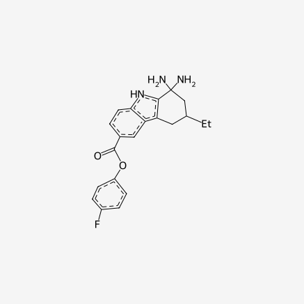 CCC1Cc2c([nH]c3ccc(C(=O)Oc4ccc(F)cc4)cc23)C(N)(N)C1